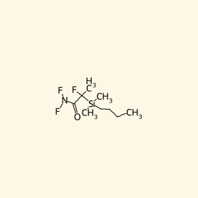 CCCC[Si](C)(C)C(C)(F)C(=O)N(F)F